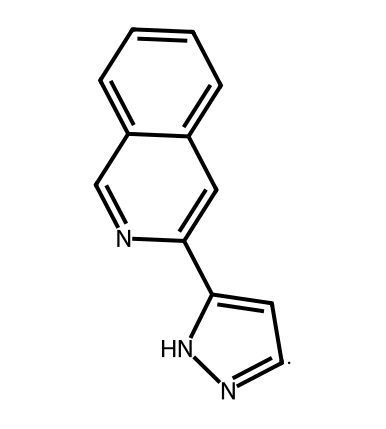 [c]1cc(-c2cc3ccccc3cn2)[nH]n1